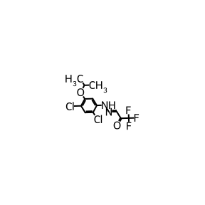 CC(C)Oc1cc(NN=CC(=O)C(F)(F)F)c(Cl)cc1Cl